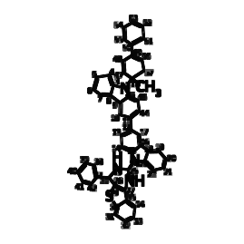 CC1(n2c3ccccc3c3cc(-c4ccc5c(c4)c4ccccc4n5C4Nc5c(sc6ccccc56)C(c5ccccc5)N4)ccc32)C=CC(c2ccccc2)=CC1